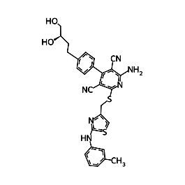 Cc1cccc(Nc2nc(CSc3nc(N)c(C#N)c(-c4ccc(CC[C@@H](O)CO)cc4)c3C#N)cs2)c1